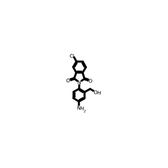 Nc1ccc(N2C(=O)c3ccc(Cl)cc3C2=O)c(CO)c1